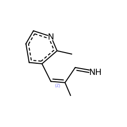 C/C(C=N)=C/c1cccnc1C